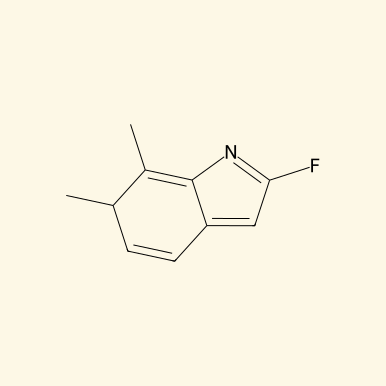 CC1=C2N=C(F)C=C2C=CC1C